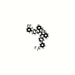 O=C(C(CN1CCN(c2cccc(C(F)(F)F)c2)CC1)c1ccccc1F)C(CN1CCN(c2cccc(C(F)(F)F)c2)CC1)c1ccccc1F